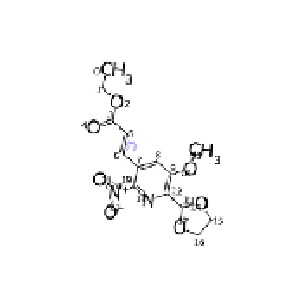 CCOC(=O)/C=C/c1cc(OC)c(C2OCCO2)nc1[N+](=O)[O-]